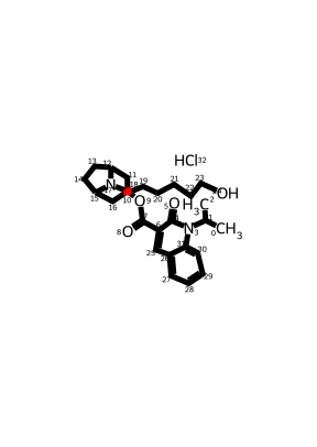 CC(C)n1c(=O)c(C(=O)OC2CC3CCC(C2)N3CCCCCCO)cc2ccccc21.Cl